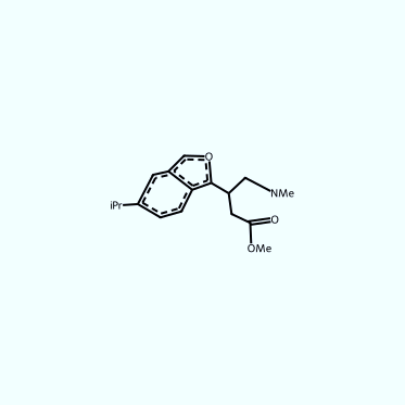 CNCC(CC(=O)OC)c1occ2cc(C(C)C)ccc12